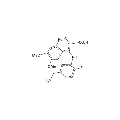 COc1cc2nnc(C(=O)O)c(Nc3cc(CN)ccc3F)c2cc1OC